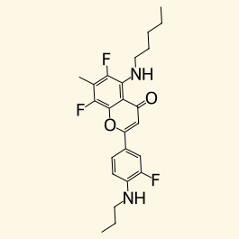 CCCCCNc1c(F)c(C)c(F)c2oc(-c3ccc(NCCC)c(F)c3)cc(=O)c12